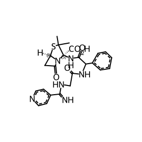 CC1(C)S[C@@H]2CC(=O)N2[C@@]1(NC(=O)C(NC(=O)CNC(=N)c1ccncc1)c1ccccc1)C(=O)O